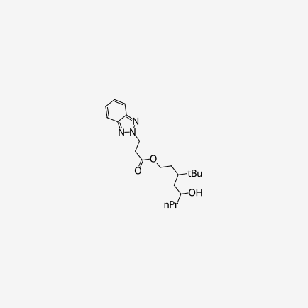 CCCC(O)CC(CCOC(=O)CCn1nc2ccccc2n1)C(C)(C)C